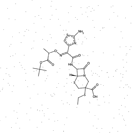 CCSC1(C(=O)O)CS[C@@H]2C(NC(=O)C(=NOC(C)C(=O)OC(C)(C)C)c3csc(N)n3)C(=O)N2C1